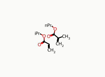 C=C(C)C(=O)OCCC.C=CC(=O)OC(C)C